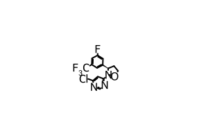 Fc1cc([C@H]2CCON2c2cc(Cl)ncn2)cc(C(F)(F)F)c1